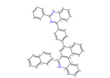 c1ccc(-c2nc(-c3ccc(-c4cc5c(-c6ccc7ccccc7c6)nc6ccccc6c5c5ccccc45)cc3)c3ccccc3n2)cc1